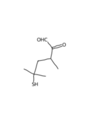 CC(CC(C)(C)S)C(=O)C=O